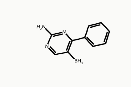 Bc1cnc(N)nc1-c1ccccc1